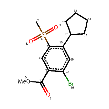 COC(=O)c1cc(S(C)(=O)=O)c(C2CCCC2)cc1Br